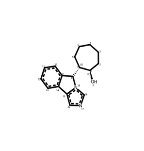 O[C@@H]1CCCCC[C@H]1C1c2ccccc2-c2cncn21